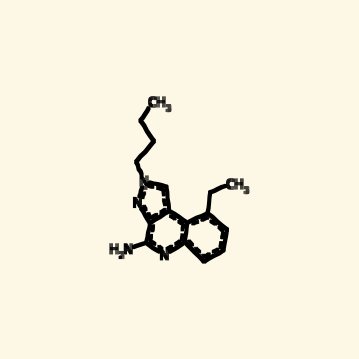 CCCCn1cc2c(n1)c(N)nc1cccc(CC)c12